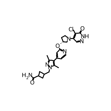 Cc1nn(CC2CC(C(N)=O)C2)c(C)c1-c1ccnc(O[C@@H]2CCN(c3cn[nH]c(=O)c3Cl)C2)c1